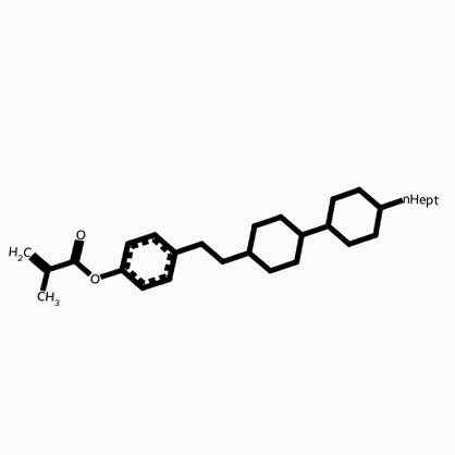 C=C(C)C(=O)Oc1ccc(CCC2CCC(C3CCC(CCCCCCC)CC3)CC2)cc1